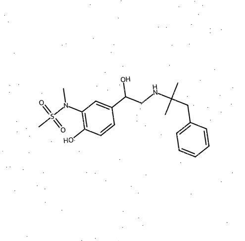 CN(c1cc(C(O)CNC(C)(C)Cc2ccccc2)ccc1O)S(C)(=O)=O